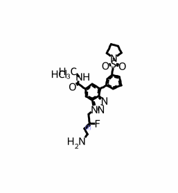 CNC(=O)c1cc(-c2cccc(S(=O)(=O)N3CCCC3)c2)c2nnn(C/C(F)=C/CN)c2c1.Cl